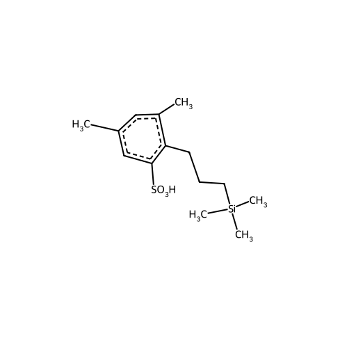 Cc1cc(C)c(CCC[Si](C)(C)C)c(S(=O)(=O)O)c1